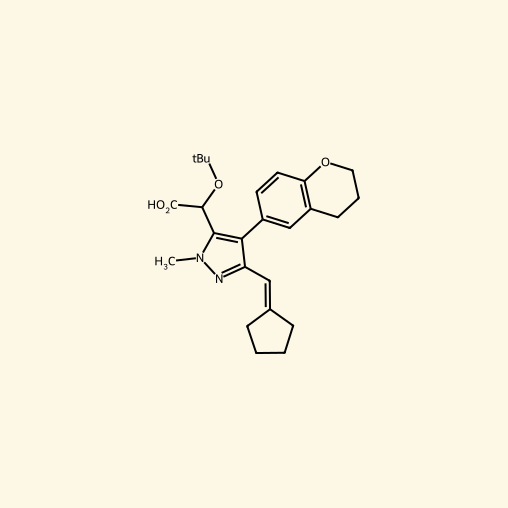 Cn1nc(C=C2CCCC2)c(-c2ccc3c(c2)CCCO3)c1C(OC(C)(C)C)C(=O)O